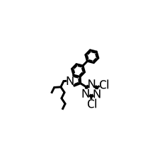 CCCCC(CC)Cn1cc(-c2nc(Cl)nc(Cl)n2)c2cc(-c3ccccc3)ccc21